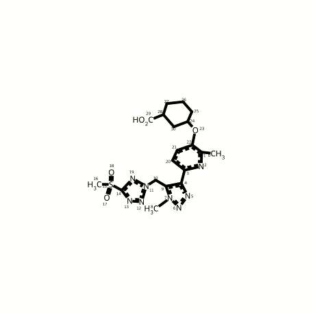 Cc1nc(-c2nnn(C)c2Cn2nnc(S(C)(=O)=O)n2)ccc1OC1CCCC(C(=O)O)C1